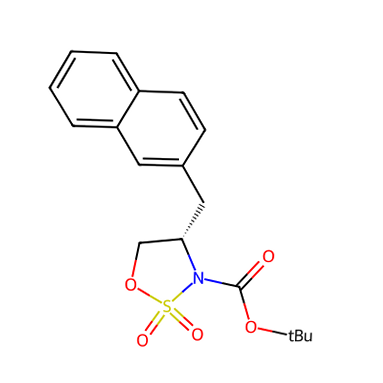 CC(C)(C)OC(=O)N1[C@@H](Cc2ccc3ccccc3c2)COS1(=O)=O